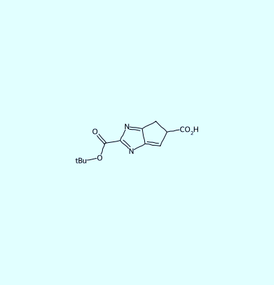 CC(C)(C)OC(=O)C1=NC2=CC(C(=O)O)CC2=N1